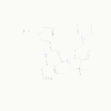 Cc1cc(-c2nc3cccc(F)c3c(N3CC(C)(C)c4ccc(N5CCOCC5)cc43)c2C)cc(C(F)(F)F)c1